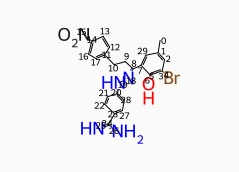 Cc1cc(Br)c(O)c(C(CCc2ccc([N+](=O)[O-])cc2)=NNc2ccc(C(=N)N)cc2)c1